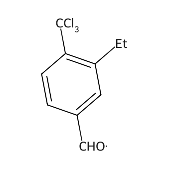 CCc1cc([C]=O)ccc1C(Cl)(Cl)Cl